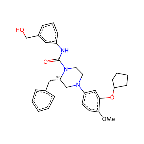 COc1ccc(N2CCN(C(=O)Nc3cccc(CO)c3)[C@@H](Cc3ccccc3)C2)cc1OC1CCCC1